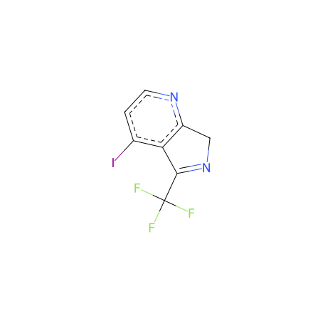 FC(F)(F)C1=NCc2nccc(I)c21